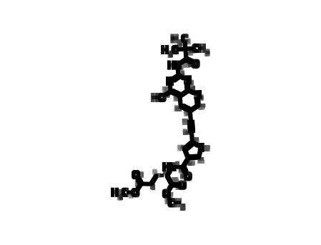 COC(=O)CC[C@H](NC(=O)c1csc(C#Cc2cnc3nc(NC(=O)C(C)(C)C)nc(O)c3c2)c1)C(=O)OC